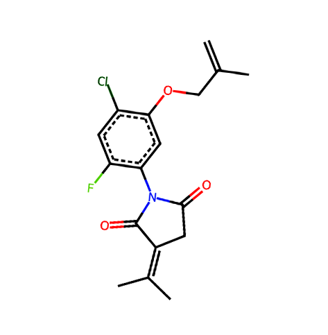 C=C(C)COc1cc(N2C(=O)CC(=C(C)C)C2=O)c(F)cc1Cl